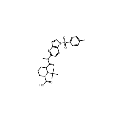 Cc1ccc(S(=O)(=O)n2ccc3nc(N(C)C(=O)C4CCCN(C(=O)O)C4C(C)(C)C)cnc32)cc1